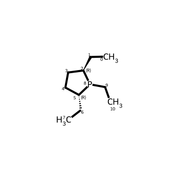 CC[C@@H]1CC[C@@H](CC)P1CC